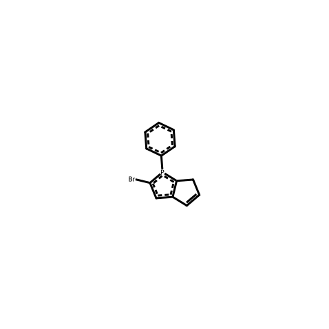 Brc1cc2c(p1-c1ccccc1)CC=C2